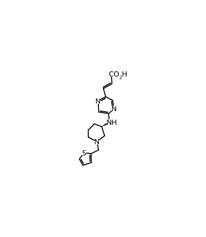 O=C(O)/C=C/c1cnc(N[C@@H]2CCCN(Cc3cccs3)C2)cn1